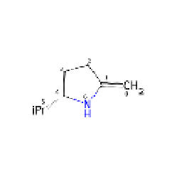 C=C1CC[C@@H](C(C)C)N1